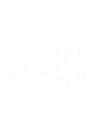 CC(C)c1cc(CNc2nc(N)c(-c3cc(C4CC4)[nH]n3)c(N3C[C@H]4C[C@@H]3CN4Cc3ccccc3)n2)on1